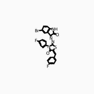 O=C1Nc2ccc(Br)cc2C1=NN=C1SC(=Cc2ccc(F)cc2)C(=O)N1c1ccc(F)cc1